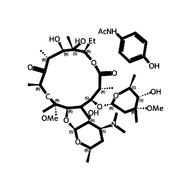 CC(=O)Nc1ccc(O)cc1.CC[C@H]1OC(=O)[C@H](C)[C@@H](O[C@H]2C[C@@](C)(OC)[C@@H](O)[C@H](C)O2)C(C)[C@@H](O[C@@H]2O[C@H](C)C[C@H](N(C)C)[C@H]2O)[C@](C)(OC)C[C@@H](C)C(=O)[C@H](C)[C@@H](O)[C@]1(C)O